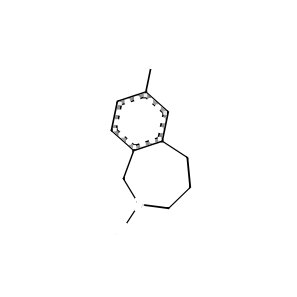 CN1CCCc2cc(O)ccc2C1